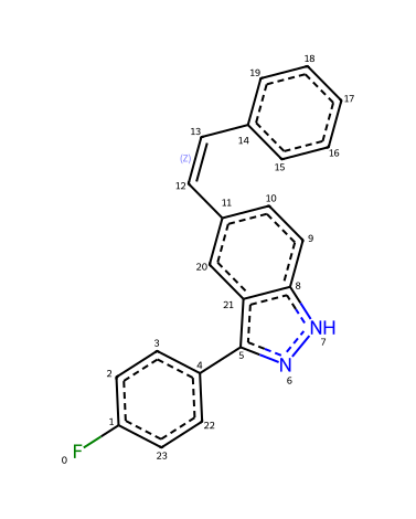 Fc1ccc(-c2n[nH]c3ccc(/C=C\c4ccccc4)cc23)cc1